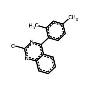 Cc1ccc(-c2nc(Cl)nc3ccccc23)c(C)c1